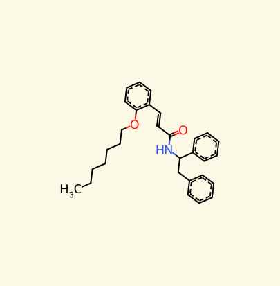 CCCCCCCOc1ccccc1/C=C/C(=O)NC(Cc1ccccc1)c1ccccc1